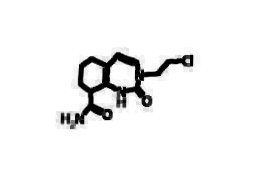 NC(=O)C1CCCC2=C1NC(=O)N(CCCl)C=C2